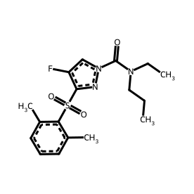 CCCN(CC)C(=O)n1cc(F)c(S(=O)(=O)c2c(C)cccc2C)n1